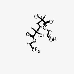 CCC(C)(CCC(C)(Cl)C(=O)OCCO)C(=O)OCC(F)(F)F